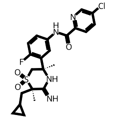 C[C@@]1(c2cc(NC(=O)c3ccc(Cl)cn3)ccc2F)CS(=O)(=O)[C@](C)(CC2CC2)C(=N)N1